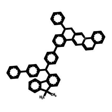 CC1(C)c2ccccc2-c2c(C(c3ccc(-c4ccccc4)cc3)c3ccc(-c4ccc5c(c4)C4=CC6=C=Cc7ccccc7N6C=C4CC5c4ccccc4)cc3)cccc21